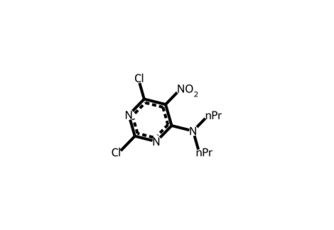 CCCN(CCC)c1nc(Cl)nc(Cl)c1[N+](=O)[O-]